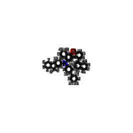 CC1(C)c2ccccc2-c2ccc(N(c3ccc(-c4ccccc4)cc3)c3cc4c(oc5cccc(-c6cccc7ccccc67)c54)c4ccccc34)cc21